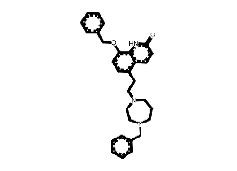 O=c1ccc2c(CCN3CCCN(Cc4ccccc4)CC3)ccc(OCc3ccccc3)c2[nH]1